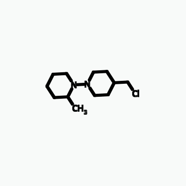 CC1CCCCN1N1CCC(CCl)CC1